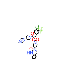 CN1CCN(C2CCN(C(=O)C(Cc3ccc(Cl)c(C(F)(F)F)c3)OC(=O)N3CCC(N4CCc5ccccc5NC4=O)CC3)CC2)CC1